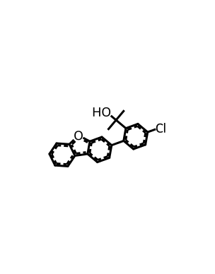 CC(C)(O)c1cc(Cl)ccc1-c1ccc2c(c1)oc1ccccc12